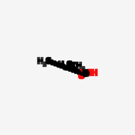 CCCC.CCCCCCCCCCCCCCCCCCCCCCOC(=O)c1ccc(O)cc1